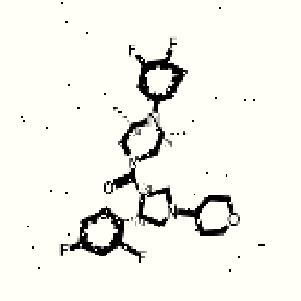 C[C@@H]1CN(C(=O)[C@H]2CN(C3CCOCC3)C[C@@H]2c2ccc(F)cc2F)C[C@H](C)N1c1ccc(F)c(F)c1